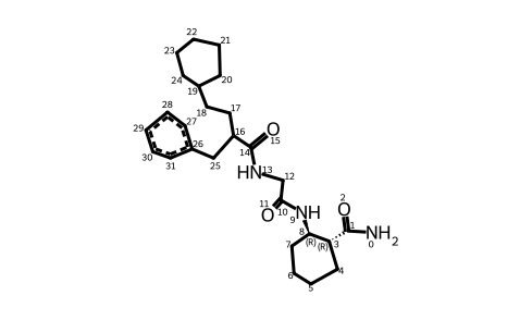 NC(=O)[C@@H]1CCCC[C@H]1NC(=O)CNC(=O)C(CCC1CCCCC1)Cc1ccccc1